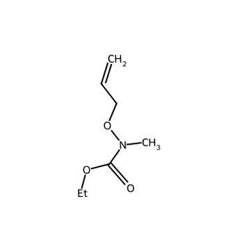 C=CCON(C)C(=O)OCC